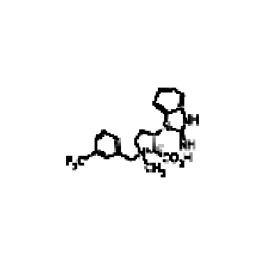 C[N+]1(Cc2cccc(C(F)(F)F)c2)CCC(n2c(=N)[nH]c3ccccc32)[C@H]1C(=O)O